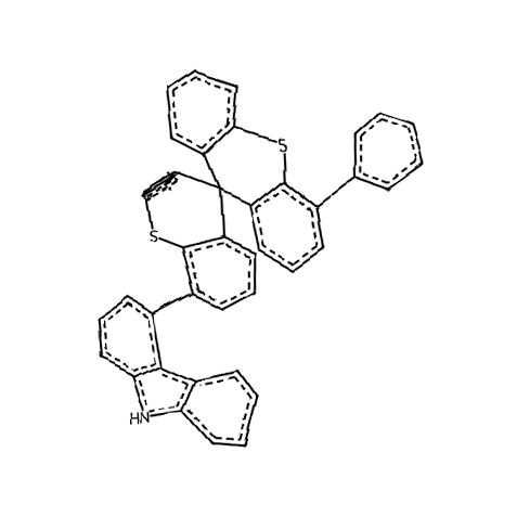 c1ccc(-c2cccc3c2Sc2ccccc2C32c3ccccc3Sc3c(-c4cccc5[nH]c6ccccc6c45)cccc32)cc1